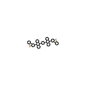 c1ccc2c(c1)sc1ccc(-c3c4ccccc4c(-c4ccc(-c5c6ccccc6c(-c6ccc7sc8ccccc8c7c6)c6ccccc56)cc4)c4ccccc34)cc12